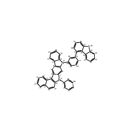 c1ccc(-n2c3cc4c(cc3c3c5ccccc5ccc32)c2ccccc2n4-c2cccc(-c3cccc4sc5ccccc5c34)c2)cc1